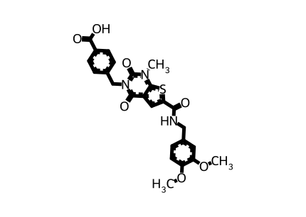 COc1ccc(CNC(=O)c2cc3c(=O)n(Cc4ccc(C(=O)O)cc4)c(=O)n(C)c3s2)cc1OC